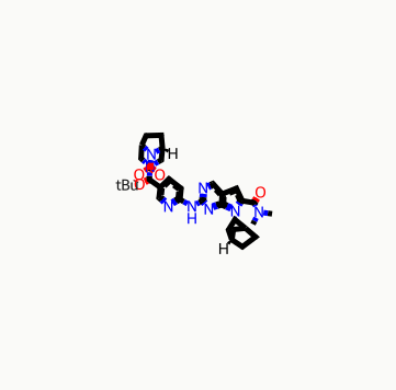 CN(C)C(=O)c1cc2cnc(Nc3ccc(C(=O)N4CC5CC[C@H](C4)N5C(=O)OC(C)(C)C)cn3)nc2n1[C@@H]1C[C@H]2CCC1C2